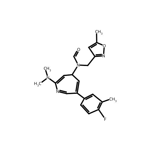 Cc1cc(CN(C=O)C2C=C(c3ccc(F)c(C)c3)C=NC(N(C)C)=C2)no1